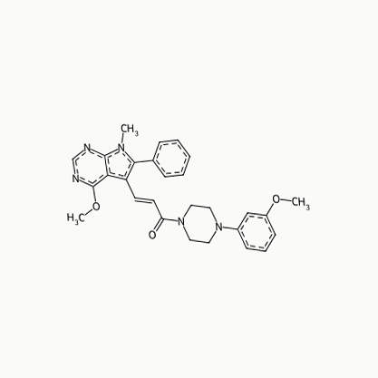 COc1cccc(N2CCN(C(=O)/C=C/c3c(-c4ccccc4)n(C)c4ncnc(OC)c34)CC2)c1